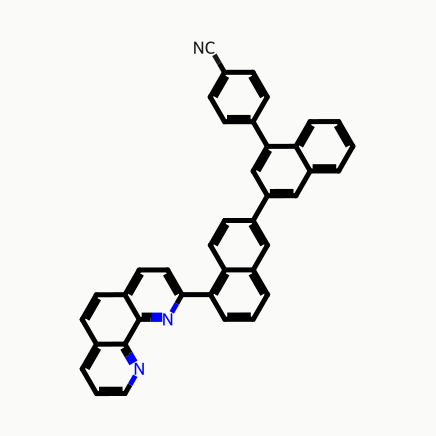 N#Cc1ccc(-c2cc(-c3ccc4c(-c5ccc6ccc7cccnc7c6n5)cccc4c3)cc3ccccc23)cc1